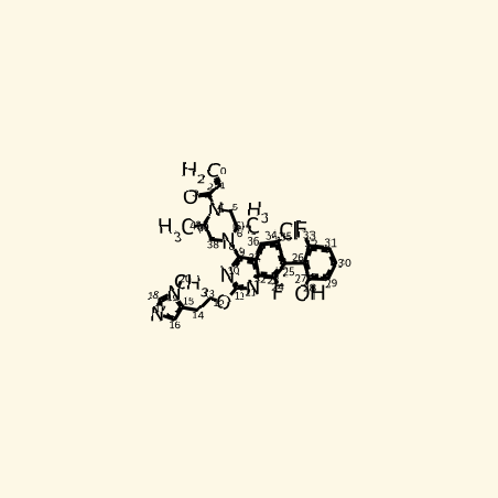 C=CC(=O)N1C[C@H](C)N(c2nc(OCCc3cncn3C)nc3c(F)c(-c4c(O)cccc4F)c(Cl)cc23)C[C@H]1C